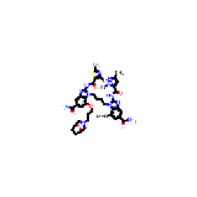 CCc1nc(C)sc1C(=O)Nc1nc2cc(C(N)=O)cc(OCCCN3CC4CCC(C3)O4)c2n1C/C=C/Cn1c(NC(=O)c2cc(C)nn2CC)nc2cc(C(N)=O)cc(OC)c21